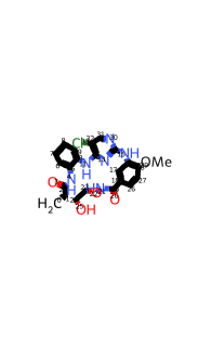 C=CC(=O)Nc1ccccc1Nc1nc(Nc2cc(C(=O)NOCCO)ccc2OC)ncc1Cl